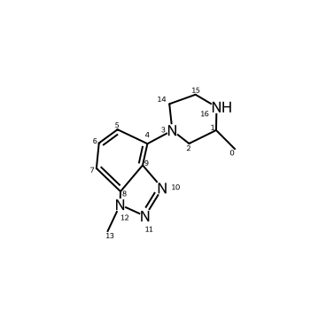 CC1CN(c2cccc3c2nnn3C)CCN1